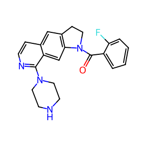 O=C(c1ccccc1F)N1CCc2cc3ccnc(N4CCNCC4)c3cc21